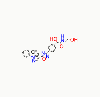 O=C(NCCO)C(O)c1ccc(-c2noc(-c3cnn(-c4ccccc4)c3C(F)(F)F)n2)cc1